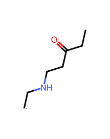 [CH2]CNCCC(=O)CC